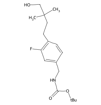 CC(C)(CO)CCc1ccc(CNC(=O)OC(C)(C)C)cc1F